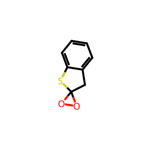 c1ccc2c(c1)CC1(OO1)S2